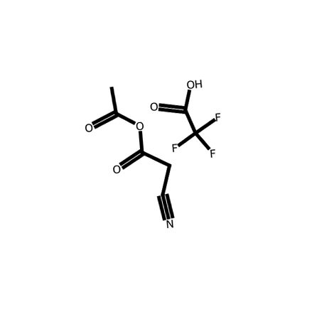 CC(=O)OC(=O)CC#N.O=C(O)C(F)(F)F